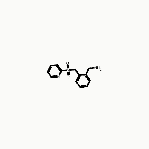 NCc1ccccc1CS(=O)(=O)c1ccccn1